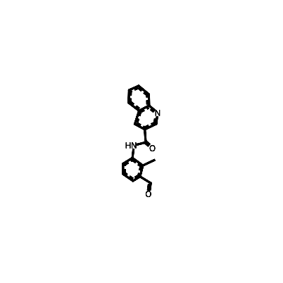 Cc1c(C=O)cccc1NC(=O)c1cnc2ccccc2c1